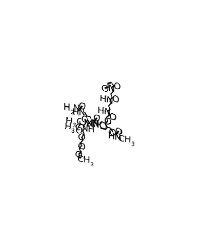 CNC(=O)OCc1ccc(NC(=O)[C@H](CCCNC(N)=O)NC(=O)[C@@H](NC(=O)COCCOCCOC)C(C)C)cc1OCC(=O)NCCCNC(=O)CCN1C(=O)C=CC1=O